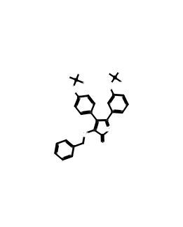 C[C@@H](NC1=C(c2ccc(OC(F)(F)F)cc2)C(c2cccc(OC(F)(F)F)c2)=NC1=O)c1ccccc1